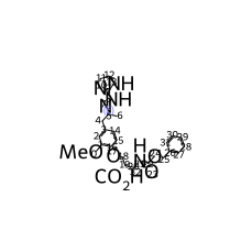 COc1cc(C/C(C)=N/NC2=NCCN2)ccc1OCCC(NC(=O)OCc1ccccc1)C(=O)O